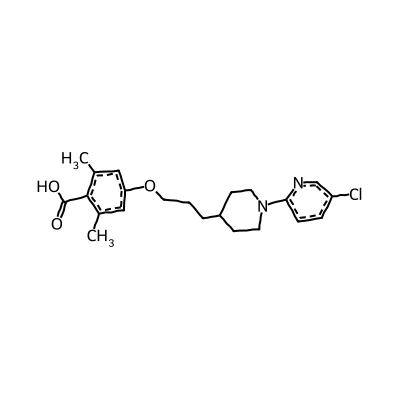 Cc1cc(OCCCC2CCN(c3ccc(Cl)cn3)CC2)cc(C)c1C(=O)O